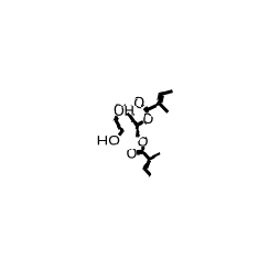 C/C=C(\C)C(=O)OCC(C)OC(=O)/C(C)=C/C.OCCO